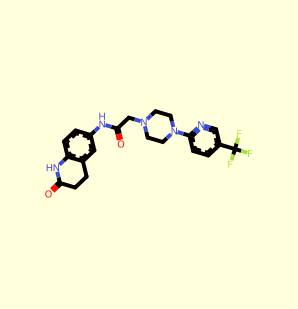 O=C(CN1CCN(c2ccc(C(F)(F)F)cn2)CC1)Nc1ccc2c(c1)CCC(=O)N2